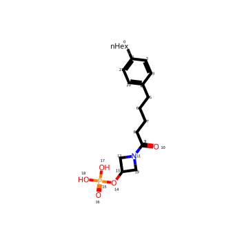 CCCCCCc1ccc(CCCCC(=O)N2CC(OP(=O)(O)O)C2)cc1